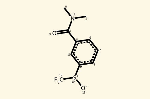 CN(C)C(=O)c1cccc([S+]([O-])C(F)(F)F)c1